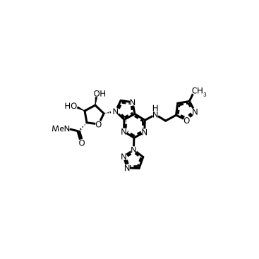 CNC(=O)[C@H]1O[C@@H](n2cnc3c(NCc4cc(C)no4)nc(-n4ccnn4)nc32)[C@H](O)[C@@H]1O